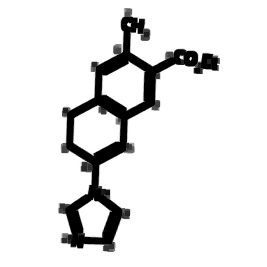 CCOC(=O)c1cc2c(cc1C)CCC(n1ccnc1)=C2